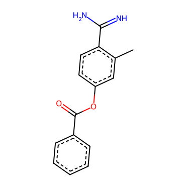 Cc1cc(OC(=O)c2ccccc2)ccc1C(=N)N